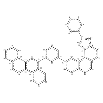 c1ccc(-c2nc3ccc4ccc5ccc(-c6cccc(-c7cc8c9ccccc9ccc8c8ccccc78)c6)cc5c4c3o2)nc1